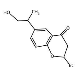 CCC1CC(=O)c2cc(C(C)CO)ccc2O1